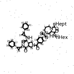 CCCCCCCC(=O)N1CCCN(S(=O)(=O)c2ccc(C(=O)N3C[C@@H](C(=O)NC4C[C@@H]4c4ccccc4)[C@H](C(=O)N[C@H]4C[C@@H]4c4ccccc4)C3)cc2)C[C@H]1C(=O)NCCCCCC